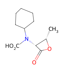 C[C@@H]1OC(=O)[C@@H]1N(C(=O)O)C1CCCCC1